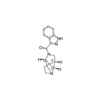 O=C(c1n[nH]c2ccccc12)N1C[C@@H]2[C@@H]3N4CCC23[C@@H]1C4